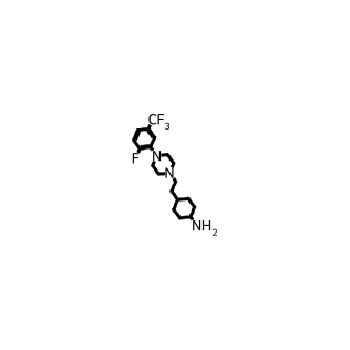 NC1CCC(CCN2CCN(c3cc(C(F)(F)F)ccc3F)CC2)CC1